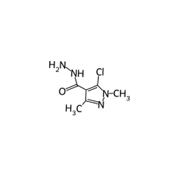 Cc1nn(C)c(Cl)c1C(=O)NN